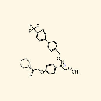 COC/C(=N/OCc1ccc(-c2ccc(C(F)(F)F)cc2)cc1)c1ccc(OCC(=S)N2CCCCC2)cc1